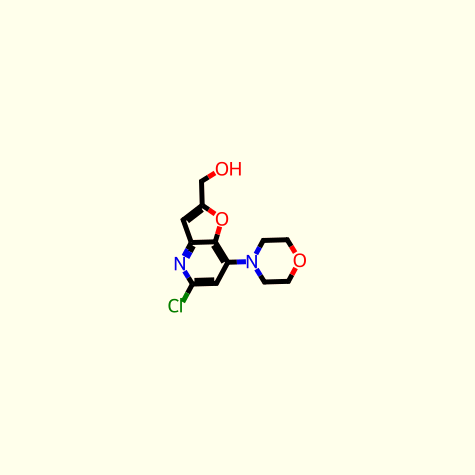 OCc1cc2nc(Cl)cc(N3CCOCC3)c2o1